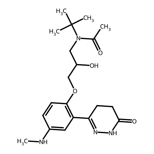 CNc1ccc(OCC(O)CN(C(C)=O)C(C)(C)C)c(C2=NNC(=O)CC2)c1